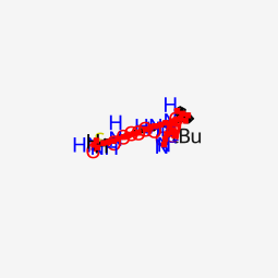 CC(C)(C)OC(=O)[C@H](CCC(=O)C=[N+]=[N-])NC(=O)[C@H](CCCCNC(=O)CCOCCOCCOCCOCCNC(=O)CCCC[C@@H]1SC[C@@H]2NC(=O)N[C@@H]21)NC(=O)OCC1c2ccccc2-c2ccccc21